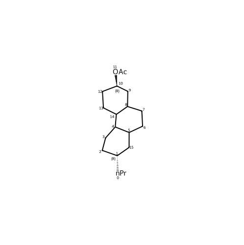 CCC[C@@H]1CCC2C(CCC3C[C@H](OC(C)=O)CCC32)C1